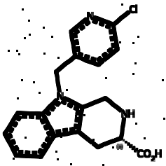 O=C(O)[C@@H]1Cc2c(n(Cc3ccc(Cl)nc3)c3ccccc23)CN1